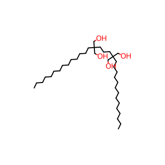 CCCCCCCCCCCCCCC(CO)(CO)CCCC(CO)(CO)CCCCCCCCCCCCCC